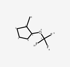 C[C]1CCCC1OC(F)(F)F